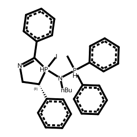 CCCCN([PH](C)(c1ccccc1)c1ccccc1)[PH]1(I)C(c2ccccc2)=NC[C@H]1c1ccccc1